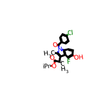 Cc1c([C@H](C)C(=O)OC(C)C)c2c(F)c(O)ccc2n1C(=O)c1ccc(Cl)cc1